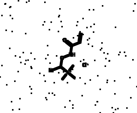 C=CC(=O)NOC(CC)[N+](C)(C)C.[Cl-]